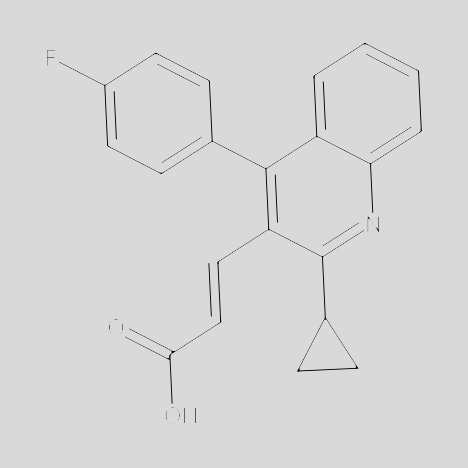 O=C(O)C=Cc1c(C2CC2)nc2ccccc2c1-c1ccc(F)cc1